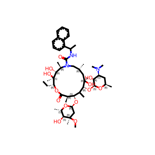 CC[C@H]1OC(=O)[C@H](C)[C@@H](O[C@H]2C[C@@](C)(OC)[C@@H](O)[C@H](C)O2)C(C)[C@@H](O[C@@H]2O[C@H](C)C[C@H](N(C)C)[C@H]2O)[C@](C)(O)C[C@@H](C)CN(C(=O)NC(C)c2cccc3ccccc23)[C@H](C)[C@@H](O)[C@]1(C)O